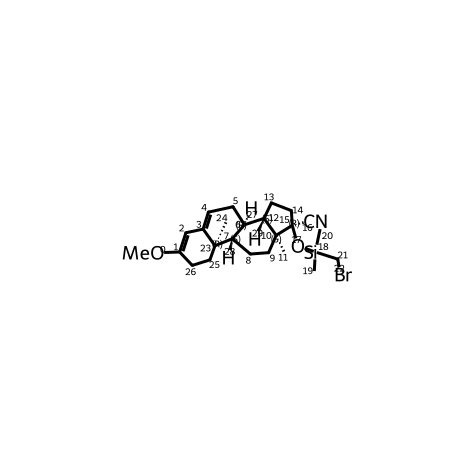 COC1=CC2=CC[C@@H]3[C@H](CC[C@@]4(C)[C@H]3CC[C@@]4(C#N)O[Si](C)(C)CBr)[C@@]2(C)CC1